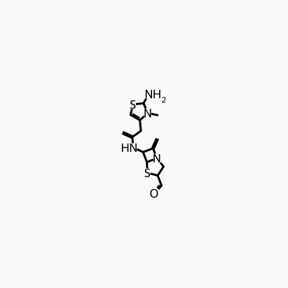 C=C(CC1=CSC(N)N1C)NC1C(=C)N2CC(C=O)SC12